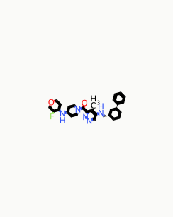 Cc1c(NC[C@H]2CCC[C@@H](c3ccccc3)C2)cnnc1C(=O)N1CCC(NC2CCOCC2F)CC1